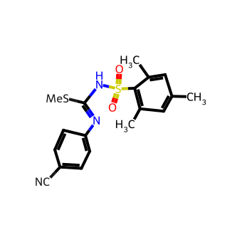 CS/C(=N\c1ccc(C#N)cc1)NS(=O)(=O)c1c(C)cc(C)cc1C